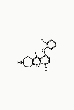 Cc1c2c(nc3c(Cl)ccc(Oc4ccccc4F)c13)CCNCC2